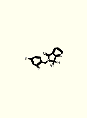 [2H]C1([2H])c2ncccc2C(=O)N1Cc1ccc(Br)cc1F